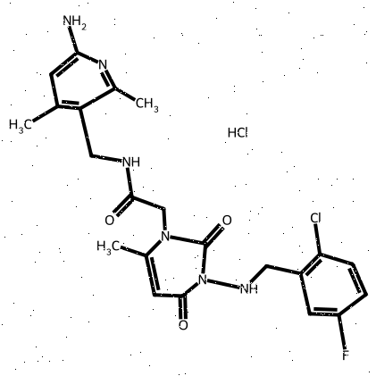 Cc1cc(N)nc(C)c1CNC(=O)Cn1c(C)cc(=O)n(NCc2cc(F)ccc2Cl)c1=O.Cl